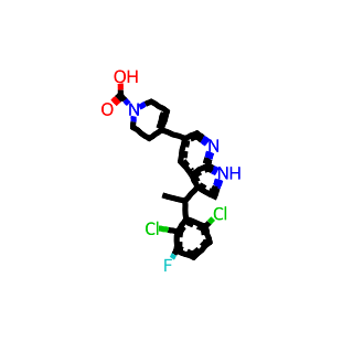 CC(c1c(Cl)ccc(F)c1Cl)c1c[nH]c2ncc(C3=CCN(C(=O)O)CC3)cc12